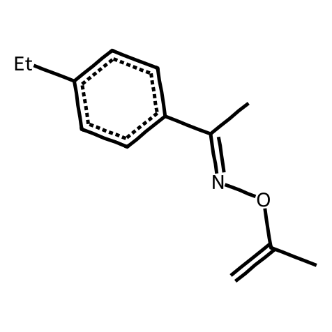 C=C(C)O/N=C(\C)c1ccc(CC)cc1